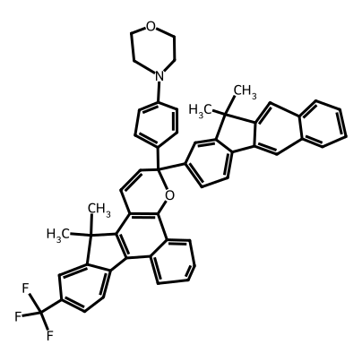 CC1(C)c2cc(C3(c4ccc(N5CCOCC5)cc4)C=Cc4c5c(c6ccccc6c4O3)-c3ccc(C(F)(F)F)cc3C5(C)C)ccc2-c2cc3ccccc3cc21